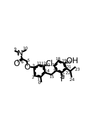 Cc1cc(OCC(=O)N(C)C)cc(Cl)c1Cc1ccc(O)c(C(C)C)c1F